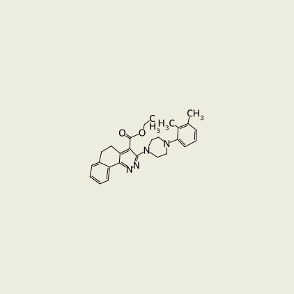 CCOC(=O)c1c(N2CCN(c3cccc(C)c3C)CC2)nnc2c1CCc1ccccc1-2